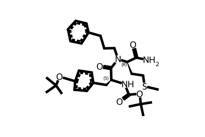 CSCC[C@H](C(N)=O)N(CCCc1ccccc1)C(=O)[C@H](Cc1ccc(OC(C)(C)C)cc1)NC(=O)OC(C)(C)C